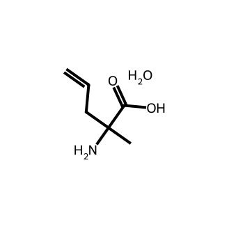 C=CCC(C)(N)C(=O)O.O